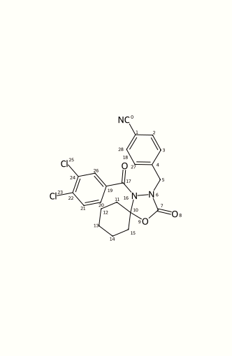 N#Cc1ccc(CN2C(=O)OC3(CCCCC3)N2C(=O)c2ccc(Cl)c(Cl)c2)cc1